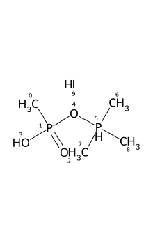 CP(=O)(O)O[PH](C)(C)C.I